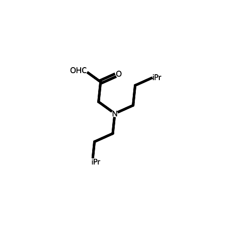 CC(C)CCN(CCC(C)C)CC(=O)C=O